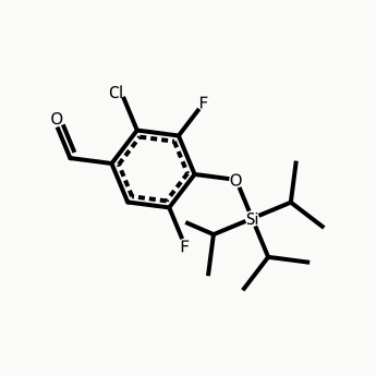 CC(C)[Si](Oc1c(F)cc(C=O)c(Cl)c1F)(C(C)C)C(C)C